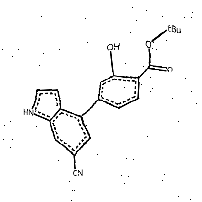 CC(C)(C)OC(=O)c1ccc(-c2cc(C#N)cc3[nH]ccc23)cc1O